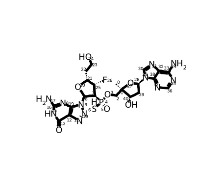 C[C@]1(COP(=O)(S)[C@H]2C(n3nnc4c(=O)[nH]c(N)nc43)O[C@H](CCO)[C@@H]2F)O[C@@H](n2cnc3c(N)ncnc32)C[C@@H]1O